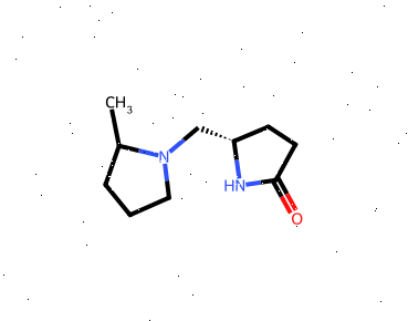 CC1CCCN1C[C@@H]1CCC(=O)N1